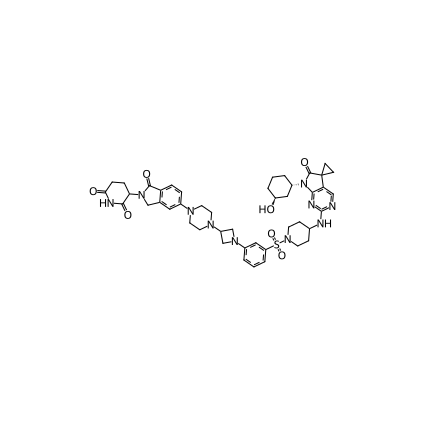 O=C1CCC(N2Cc3cc(N4CCN(C5CN(c6cccc(S(=O)(=O)N7CCC(Nc8ncc9c(n8)N([C@H]8CCC[C@H](O)C8)C(=O)C98CC8)CC7)c6)C5)CC4)ccc3C2=O)C(=O)N1